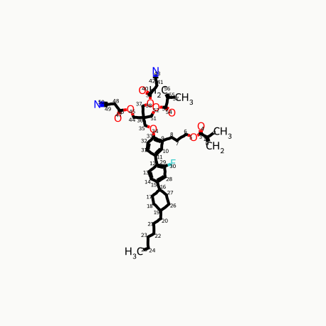 C=C(C)C(=O)OCCCc1cc(-c2ccc(C3CCC(CCCCCC)CC3)cc2F)ccc1OCC(COC(=O)CC#N)(COC(=O)CC#N)COC(=O)C(=C)C